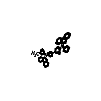 Cc1cccc(N(c2ccc(C3CC=C(N(c4ccccc4)c4cc5ccccc5c5c4C=CCC5)C4C=C43)cc2)c2cc3c(c4c2C=CCC4)CCC=C3)c1